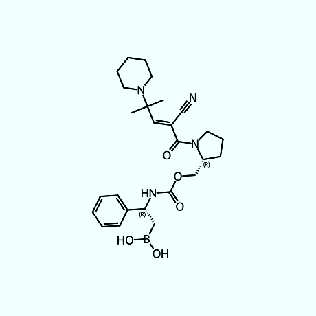 CC(C)(C=C(C#N)C(=O)N1CCC[C@@H]1COC(=O)N[C@H](CB(O)O)c1ccccc1)N1CCCCC1